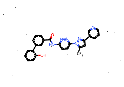 O=C(Nc1ccc(-n2nc(-c3cccnc3)cc2C(F)(F)F)nn1)c1cccc(-c2ccccc2O)c1